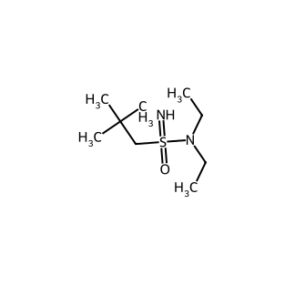 CCN(CC)S(=N)(=O)CC(C)(C)C